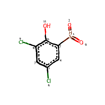 O=[SH](=O)c1cc(Cl)cc(Cl)c1O